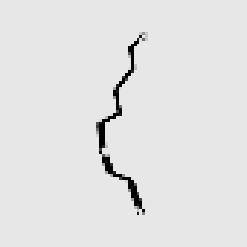 O=CC=C=CCCCCCl